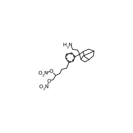 NCCC1(c2cccc(CCCC(CO[N+](=O)[O-])O[N+](=O)[O-])c2)C2CC3CC(C2)CC1C3